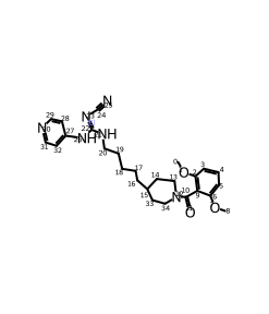 COc1cccc(OC)c1C(=O)N1CCC(CCCCCN/C(=N\C#N)Nc2ccncc2)CC1